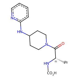 CC(C)[C@H](NC(=O)O)C(=O)N1CCC(Nc2ccccn2)CC1